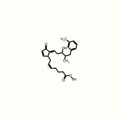 Cc1cccc(CC(C)C(O)C/C=C2/C(=O)C=CC2C/C=C\CCCC(=O)OC(C)C)c1